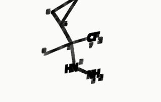 CC(NN)(C1CC1)C(F)(F)F